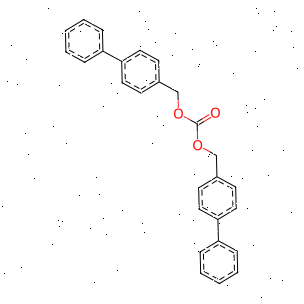 O=C(OCc1ccc(-c2ccccc2)cc1)OCc1ccc(-c2ccccc2)cc1